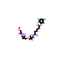 COCC(=O)NCC(C)(C)COCC(C)(C)CNC(=O)CCCCC(=O)Oc1c(F)c(F)cc(F)c1F